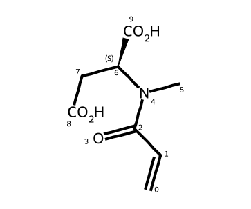 C=CC(=O)N(C)[C@@H](CC(=O)O)C(=O)O